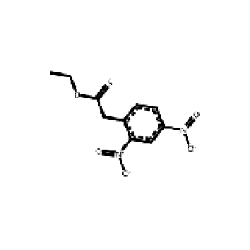 CCOC(=S)Cc1ccc([N+](=O)[O-])cc1[N+](=O)[O-]